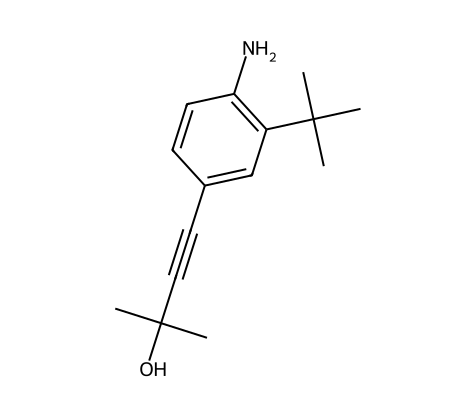 CC(C)(O)C#Cc1ccc(N)c(C(C)(C)C)c1